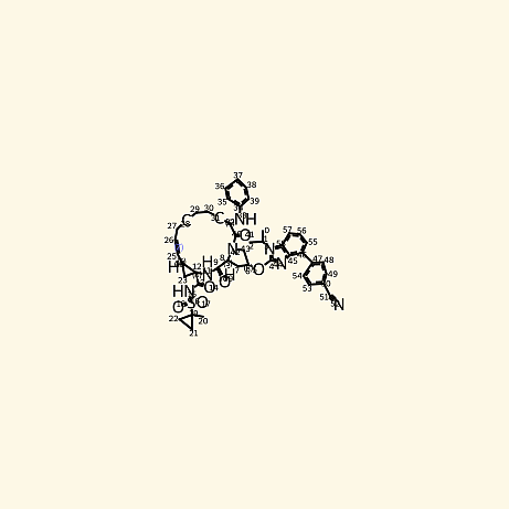 CC(C)n1c(O[C@@H]2C[C@H]3C(=O)N[C@]4(C(=O)NS(=O)(=O)C5(C)CC5)C[C@H]4/C=C\CCCCC[C@H](Nc4ccccc4)C(=O)N3C2)nc2c(-c3ccc(C#N)cc3)cccc21